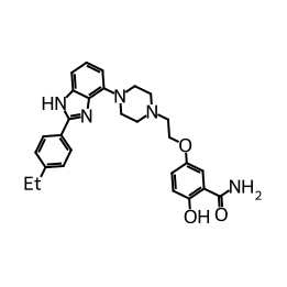 CCc1ccc(-c2nc3c(N4CCN(CCOc5ccc(O)c(C(N)=O)c5)CC4)cccc3[nH]2)cc1